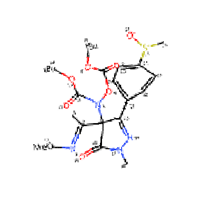 CON=C(C)C1(N(OC(=O)OC(C)(C)C)C(=O)OC(C)(C)C)C(=O)N(C)N=C1c1ccc([S+](C)[O-])cc1